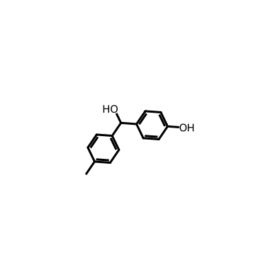 Cc1ccc(C(O)c2ccc(O)cc2)cc1